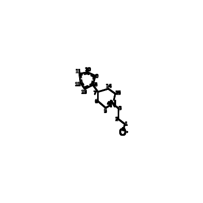 [O]CCCN1CCC(c2ccccc2)CC1